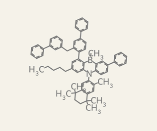 CCCCCc1cc(-c2ccc(-c3ccccc3)cc2Cc2cccc(-c3ccccc3)c2)c2c(c1)N(c1cc3c(cc1C)C(C)(C)CCC3(C)C)c1ccc(-c3ccccc3)cc1B2C